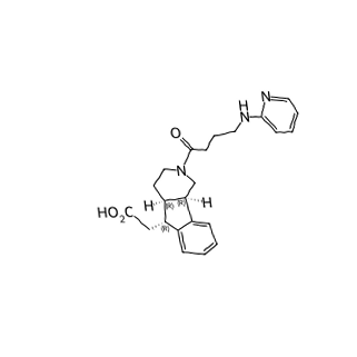 O=C(O)C[C@H]1c2ccccc2[C@@H]2CN(C(=O)CCCNc3ccccn3)CC[C@H]12